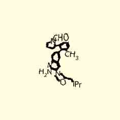 Cc1cccc(C2CCCN2C=O)c1-c1ccc2nc(N)c(N3CCOC(CC(C)C)C3)cc2c1